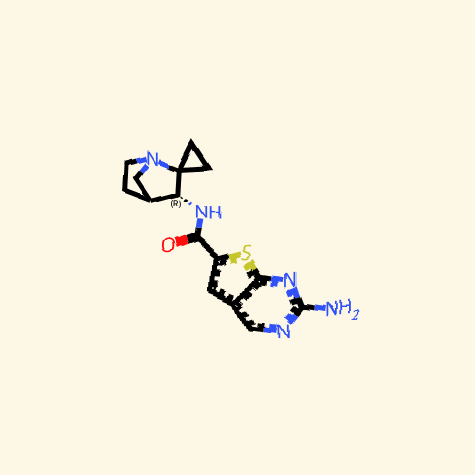 Nc1ncc2cc(C(=O)N[C@@H]3C4CCN(C4)C34CC4)sc2n1